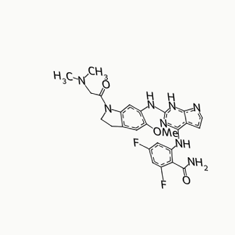 COc1cc2c(cc1Nc1nc(Nc3cc(F)cc(F)c3C(N)=O)c3ccnc-3[nH]1)N(C(=O)CN(C)C)CC2